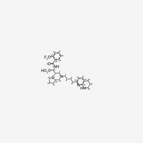 O=C(NC(CCN(CCCCc1ccc2c(n1)NCCC2)CC1CCCO1)C(=O)O)c1ccccc1C(F)(F)F